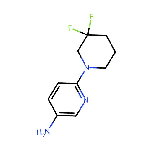 Nc1ccc(N2CCCC(F)(F)C2)nc1